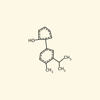 Cc1ccc(-c2ccccc2O)cc1C(C)C